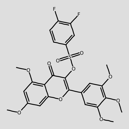 COc1cc(OC)c2c(=O)c(OS(=O)(=O)c3ccc(F)c(F)c3)c(-c3cc(OC)c(OC)c(OC)c3)oc2c1